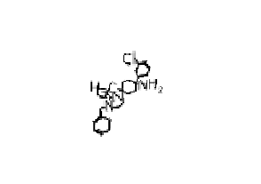 CC1(N2CCN(Cc3ccccc3)C2=O)CCC(N)(c2cccc(Cl)c2)CC1